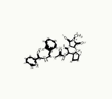 C[C@@H]1C(=O)N(C)C(=O)[C@H]1C(=O)C(NC(=O)C[C@H](NC(=O)c1ccccn1)c1ccccc1)C1CCCC1